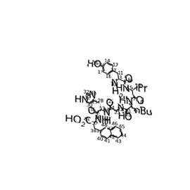 CCCC[C@H](NC(=O)[C@@H](NC(=O)[C@@H](N)Cc1ccc(O)cc1)C(C)C)C(=O)NCC(=O)N[C@@H](Cc1c[nH]cn1)C(=O)N[C@H](Cc1ccc2ccccc2c1)C(=O)O